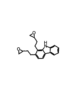 c1ccc2c(c1)[nH]c1c(CCC3CO3)c(CCC3CO3)ccc12